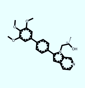 COc1cc(-c2ccc(-c3cc4ccncc4n3C[C@H](C)O)cc2)cc(OC)c1OC